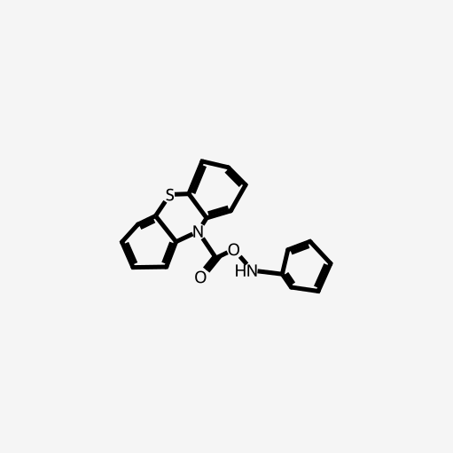 O=C(ONc1ccccc1)N1c2ccccc2Sc2ccccc21